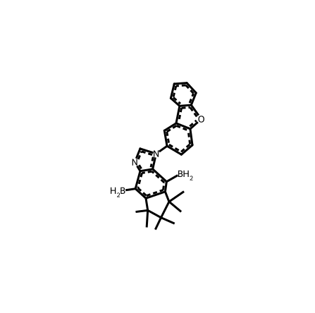 Bc1c2c(c(B)c3c1ncn3-c1ccc3oc4ccccc4c3c1)C(C)(C)C(C)(C)C2(C)C